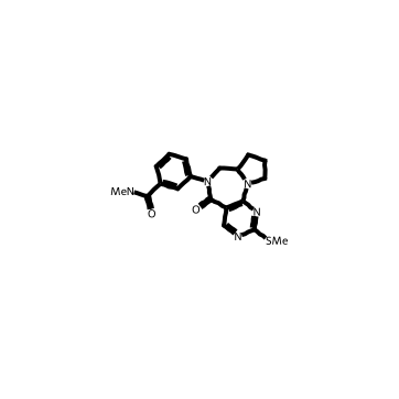 CNC(=O)c1cccc(N2CC3CCCN3c3nc(SC)ncc3C2=O)c1